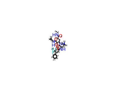 CCNC(=O)CCC(NC(=O)[C@H](CC(C)(C)C)NC(=O)CC(c1ccccc1)C(F)(F)F)C(=O)C(=O)NC1CC1